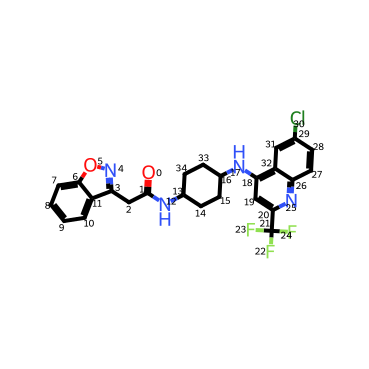 O=C(Cc1noc2ccccc12)NC1CCC(Nc2cc(C(F)(F)F)nc3ccc(Cl)cc23)CC1